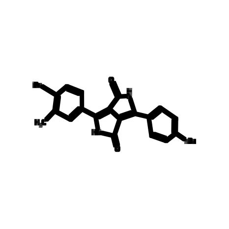 CCCCc1ccc(C2=C3C(=O)NC(c4ccc(C(C)CC)c(C)c4)=C3C(=O)N2)cc1